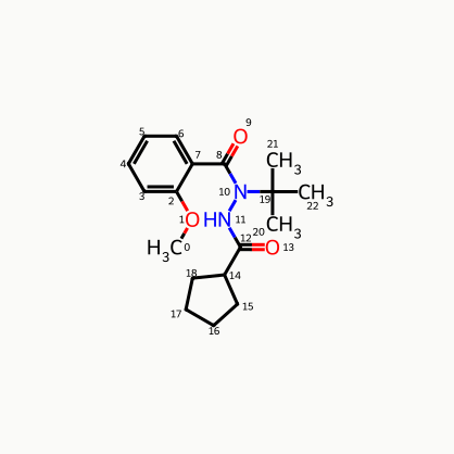 COc1ccccc1C(=O)N(NC(=O)C1CCCC1)C(C)(C)C